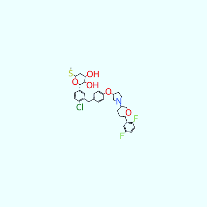 CSC1CC(O)[C@@H](O)[C@H](c2ccc(Cl)c(Cc3ccc(OC4CCN(C5CCC(c6cc(F)ccc6F)OC5)C4)cc3)c2)O1